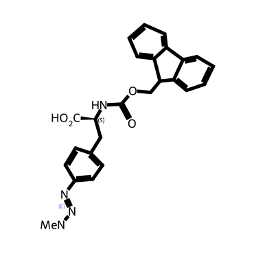 CN/N=N/c1ccc(C[C@H](NC(=O)OCC2c3ccccc3-c3ccccc32)C(=O)O)cc1